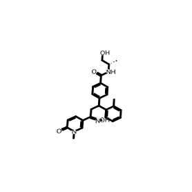 Cc1ccccc1C(C/C(=N\O)c1ccc(=O)n(C)c1)c1ccc(C(=O)N[C@@H](C)CO)cc1